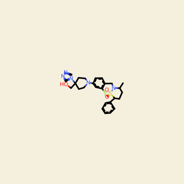 CC1CCC(c2ccccc2)S(=O)(=O)N1Cc1ccc(N2CCC(CO)(n3cnnc3)CC2)cc1F